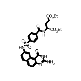 CCOC(=O)CC[C@H](NC(=O)c1ccc(S(=O)(=O)Nc2ccc3ccc4nc(N)[nH]c(=O)c4c3c2)cc1)C(=O)OCC